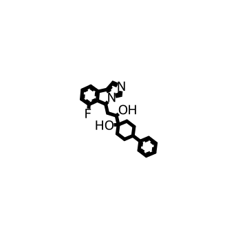 OC(CC1c2c(F)cccc2-c2cncn21)C1(O)CCC(c2ccccc2)CC1